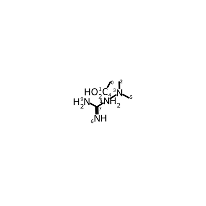 CC(=O)O.CN(C)C.N=C(N)N